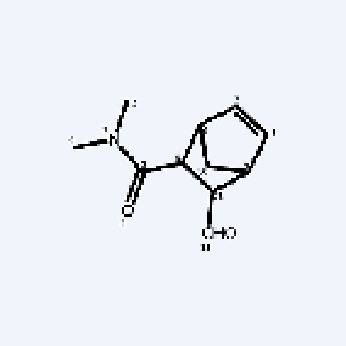 CN(C)C(=O)C1C2C=CC(C2)C1C=O